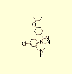 CCC(C)O[C@H]1CC[C@H](c2nnc3n2-c2ccc(Cl)cc2CNC3)CC1